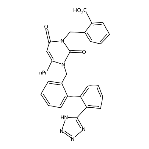 CCCc1cc(=O)n(Cc2ccccc2C(=O)O)c(=O)n1Cc1ccccc1-c1ccccc1-c1nnn[nH]1